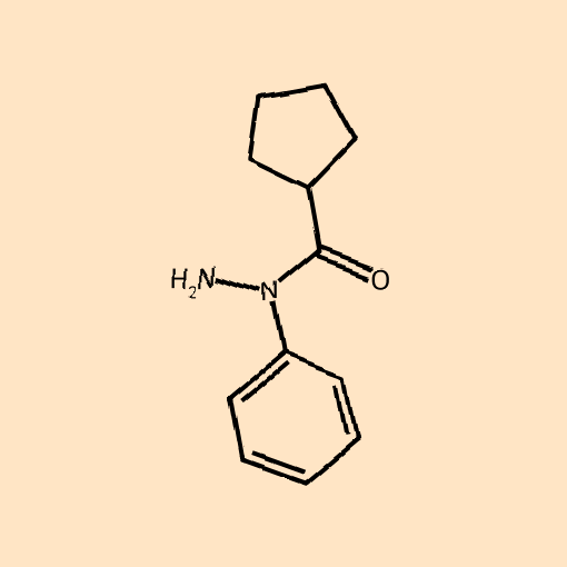 NN(C(=O)C1CCCC1)c1ccccc1